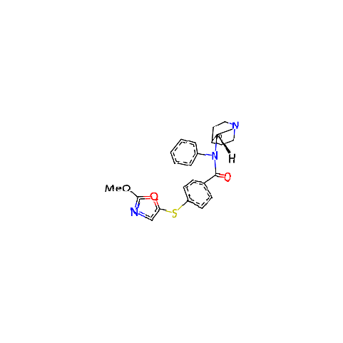 COc1ncc(Sc2ccc(C(=O)N(c3ccccc3)[C@H]3CN4CCC3CC4)cc2)o1